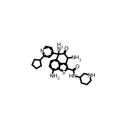 Nc1ccc2c3c(c(C(=O)NC4CCCNC4)sc13)C(N)C(=O)C2(N)c1ccnc(C2CCCC2)c1